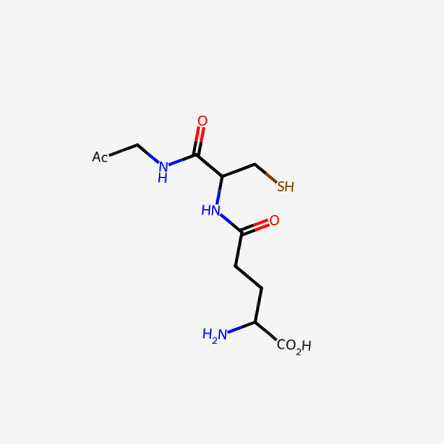 CC(=O)CNC(=O)C(CS)NC(=O)CCC(N)C(=O)O